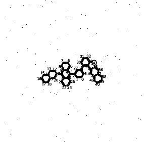 c1cc(-c2c3ccccc3c(-c3ccc4ccccc4c3)c3ccccc23)cc(-c2cccc3oc4cc5ccccc5cc4c23)c1